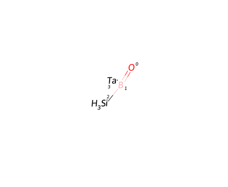 O=B[SiH3].[Ta]